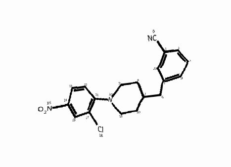 N#Cc1cccc(CC2CCN(c3ccc([N+](=O)[O-])cc3Cl)CC2)c1